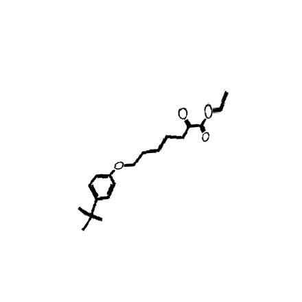 CCOC(=O)C(=O)CCCCCOc1ccc(C(C)(C)C)cc1